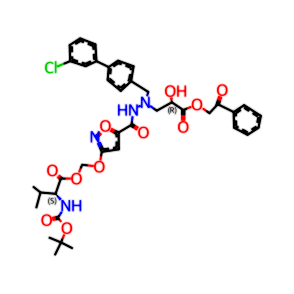 CC(C)[C@H](NC(=O)OC(C)(C)C)C(=O)OCOc1cc(C(=O)NN(Cc2ccc(-c3cccc(Cl)c3)cc2)C[C@@H](O)C(=O)OCC(=O)c2ccccc2)on1